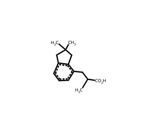 CC(Cc1cccc2c1CC(C)(C)C2)C(=O)O